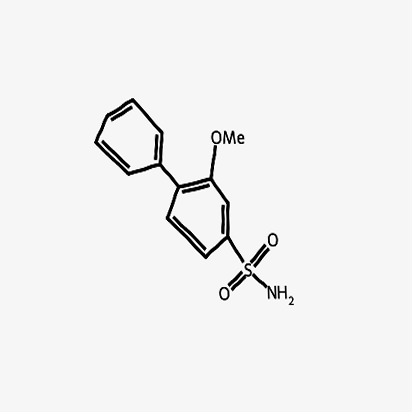 COc1cc(S(N)(=O)=O)ccc1-c1ccccc1